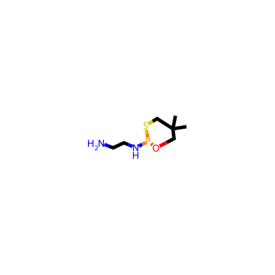 CC1(C)COP(NCCN)SC1